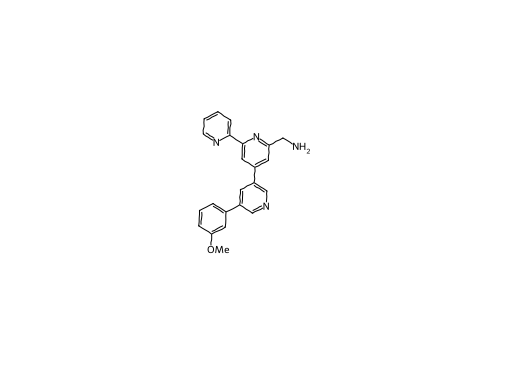 COc1cccc(-c2cncc(-c3cc(CN)nc(-c4ccccn4)c3)c2)c1